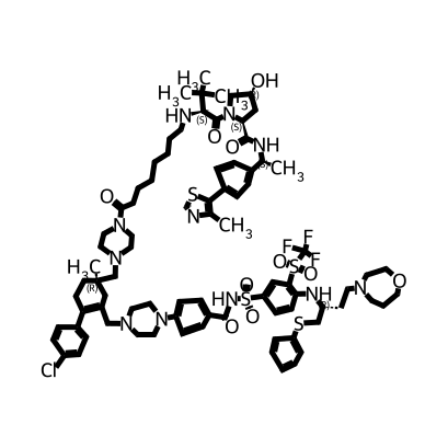 Cc1ncsc1-c1ccc([C@H](C)NC(=O)[C@@H]2C[C@@H](O)CN2C(=O)[C@@H](NCCCCCCCC(=O)N2CCN(C[C@]3(C)CCC(c4ccc(Cl)cc4)=C(CN4CCN(c5ccc(C(=O)NS(=O)(=O)c6ccc(N[C@H](CCN7CCCOCC7)CSc7ccccc7)c(S(=O)(=O)C(F)(F)F)c6)cc5)CC4)C3)CC2)C(C)(C)C)cc1